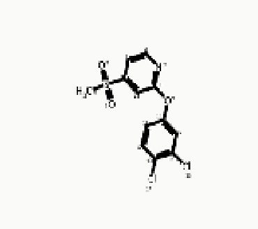 CS(=O)(=O)c1ccnc(Oc2ccc(Cl)c(Cl)c2)c1